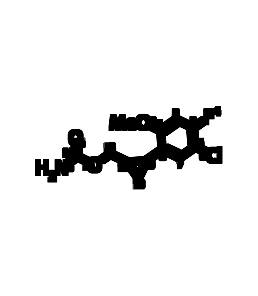 COc1cc(F)c(Cl)cc1C1CC1COC(N)=O